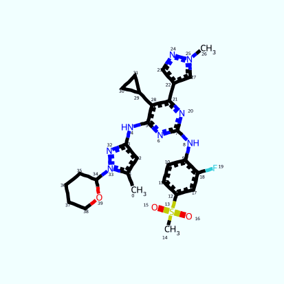 Cc1cc(Nc2nc(Nc3ccc(S(C)(=O)=O)cc3F)nc(-c3cnn(C)c3)c2C2CC2)nn1C1CCCCO1